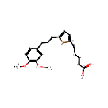 COc1ccc(CCCc2ccc(CCCCC(=O)O)s2)cc1OC